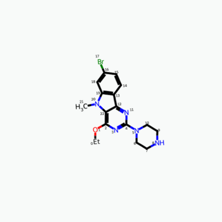 CCOc1nc(N2CCNCC2)nc2c3ccc(Br)cc3n(C)c12